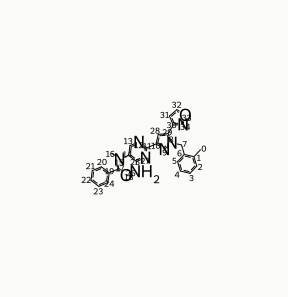 Cc1ccccc1Cn1nc(-c2ncc(N(C)C(=O)c3ccccc3)c(N)n2)cc1-c1ccon1